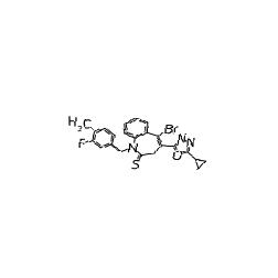 Cc1ccc(CN2C(=S)CC(c3nnc(C4CC4)o3)=C(Br)c3ccccc32)cc1F